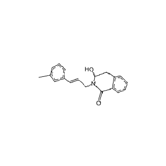 Cc1cccc(/C=C/CN2C(=O)c3ccccc3CC2O)c1